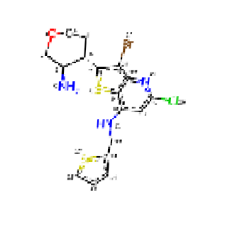 N[C@H]1COCC[C@@H]1c1sc2c(NCc3cccs3)cc(Cl)nc2c1Br